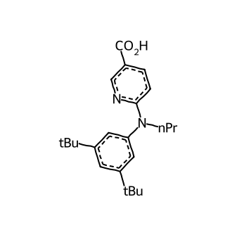 CCCN(c1cc(C(C)(C)C)cc(C(C)(C)C)c1)c1ccc(C(=O)O)cn1